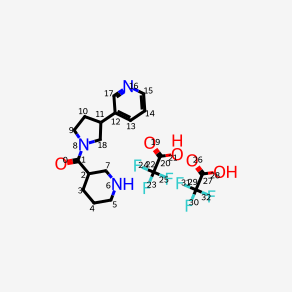 O=C(C1CCCNC1)N1CCC(c2cccnc2)C1.O=C(O)C(F)(F)F.O=C(O)C(F)(F)F